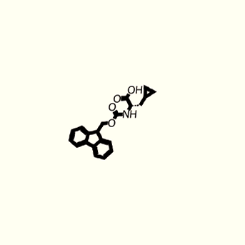 O=C(N[C@@H](CC1CC1)C(=O)O)OCC1c2ccccc2-c2ccccc21